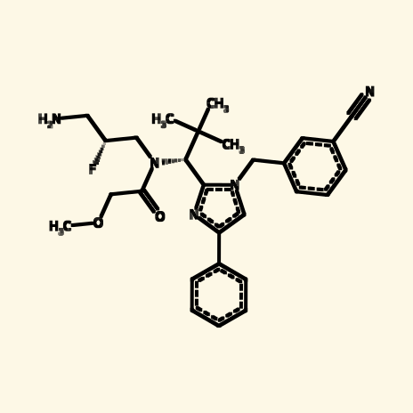 COCC(=O)N(C[C@H](F)CN)[C@@H](c1nc(-c2ccccc2)cn1Cc1cccc(C#N)c1)C(C)(C)C